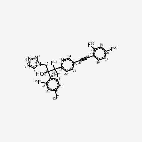 OC(Cn1cnnn1)(c1ccc(F)cc1F)C(F)(F)c1ccc(C#Cc2ccc(F)cc2F)cn1